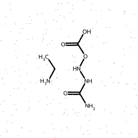 CCN.NC(=O)NNOC(=O)O